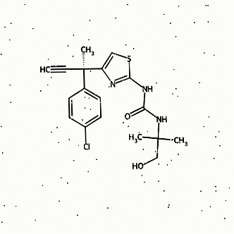 C#C[C@](C)(c1ccc(Cl)cc1)c1csc(NC(=O)NC(C)(C)CO)n1